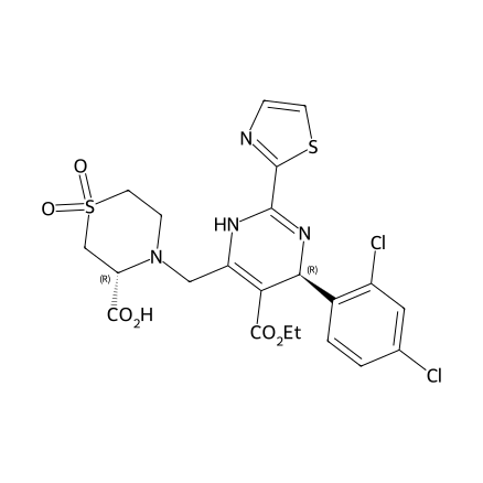 CCOC(=O)C1=C(CN2CCS(=O)(=O)C[C@H]2C(=O)O)NC(c2nccs2)=N[C@H]1c1ccc(Cl)cc1Cl